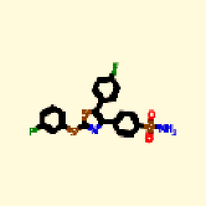 NS(=O)(=O)c1ccc(-c2nc(Sc3cccc(F)c3)sc2-c2ccc(F)cc2)cc1